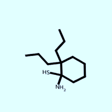 CCCC1(CCC)CCCCC1(N)S